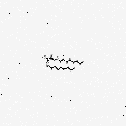 CCCCCCCCBr.CCCCCCCCO/N=C(\C)C(=O)O